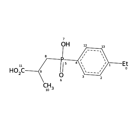 CCc1ccc(P(=O)(O)CC(C)C(=O)O)cc1